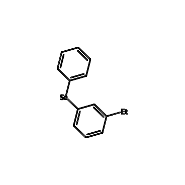 CCc1cccc([Se]c2ccccc2)c1